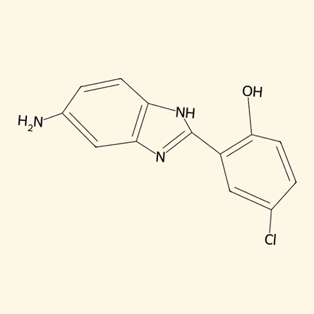 Nc1ccc2[nH]c(-c3cc(Cl)ccc3O)nc2c1